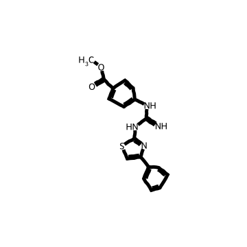 COC(=O)c1ccc(NC(=N)Nc2nc(-c3ccccc3)cs2)cc1